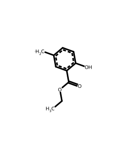 [CH2]c1ccc(O)c(C(=O)OCC)c1